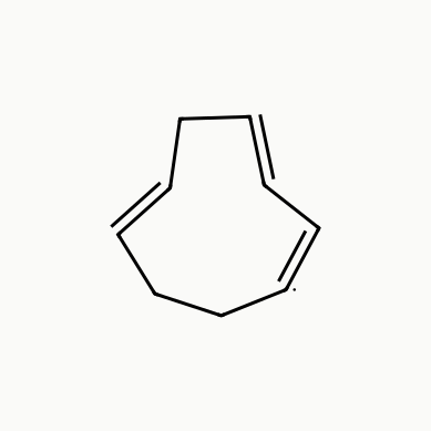 [C]1=C\C=C\C/C=C/CC/1